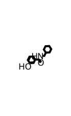 O=C(NCC1CCCCC1)c1cccc(O)c1